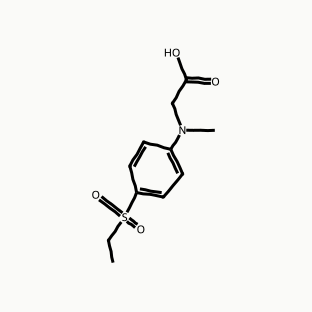 CCS(=O)(=O)c1ccc(N(C)CC(=O)O)cc1